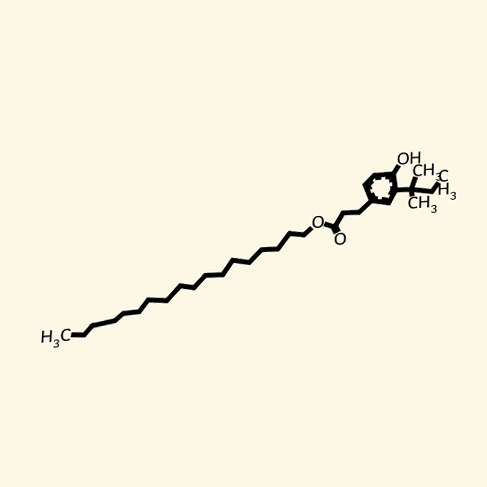 CCCCCCCCCCCCCCCCCCOC(=O)CCc1ccc(O)c(C(C)(C)CC)c1